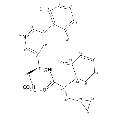 Cc1cccc(C)c1-c1cncc([C@H](CC(=O)O)NC(=O)[C@@H](CC2CC2)n2ccccc2=O)c1